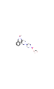 CC(=O)N1Cc2ccccc2C2(CCN(C3CCN(C(=O)OC4CCOC4)CC3)CC2)C1